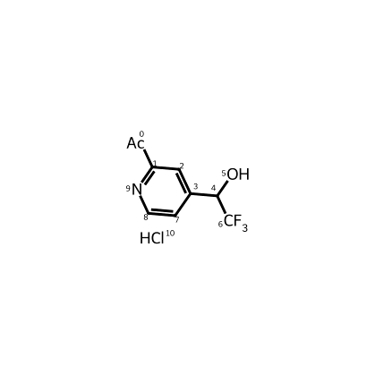 CC(=O)c1cc(C(O)C(F)(F)F)ccn1.Cl